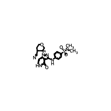 CN(C)S(=O)(=O)c1ccc(Nc2nn([C@H]3COCCC3C#N)c3cc[nH]c(=O)c23)cc1